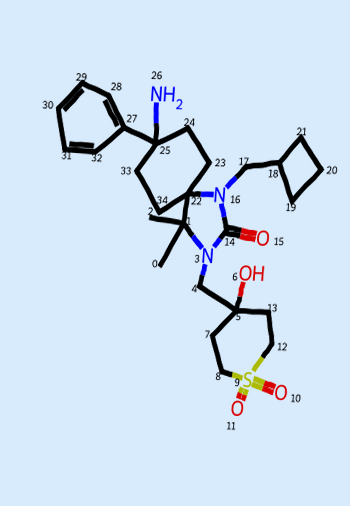 CC1(C)N(CC2(O)CCS(=O)(=O)CC2)C(=O)N(CC2CCC2)C12CCC(N)(c1ccccc1)CC2